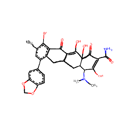 CN(C)C1C(O)=C(C(N)=O)C(=O)C2(O)C(O)=C3C(=O)c4c(O)c(C(C)(C)C)cc(-c5ccc6c(c5)OCO6)c4CC3CC12